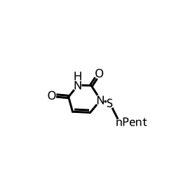 CCCCCSn1ccc(=O)[nH]c1=O